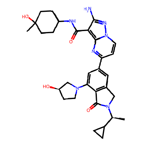 C[C@@H](C1CC1)N1Cc2cc(-c3ccn4nc(N)c(C(=O)NC5CCC(C)(O)CC5)c4n3)cc(N3CC[C@@H](O)C3)c2C1=O